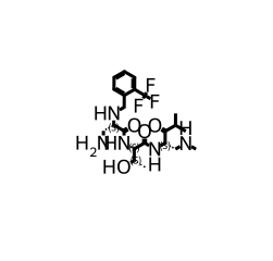 CNC[C@H](NC(=O)[C@@H](NC(=O)[C@H](CN)NCc1ccccc1C(F)(F)F)[C@H](C)O)C(=O)C(C)C